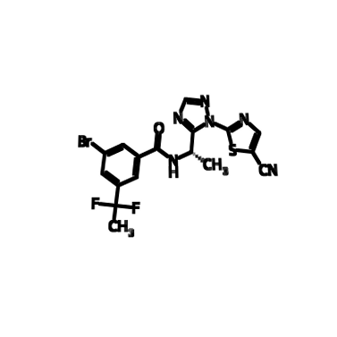 C[C@H](NC(=O)c1cc(Br)cc(C(C)(F)F)c1)c1ncnn1-c1ncc(C#N)s1